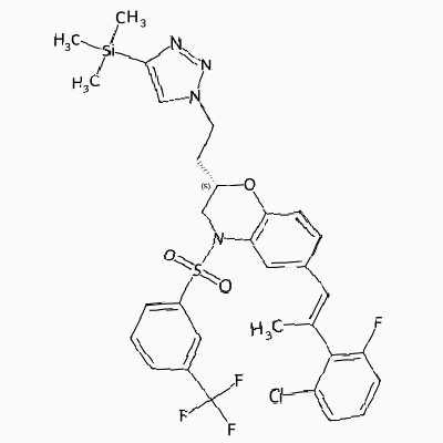 CC(=Cc1ccc2c(c1)N(S(=O)(=O)c1cccc(C(F)(F)F)c1)C[C@H](CCn1cc([Si](C)(C)C)nn1)O2)c1c(F)cccc1Cl